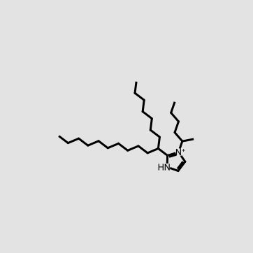 CCCCCCCCCCC(CCCCCCC)c1[nH]cc[n+]1C(C)CCCC